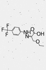 CCOCC(=NNc1ccc(C(F)(F)F)cc1)C(=O)O